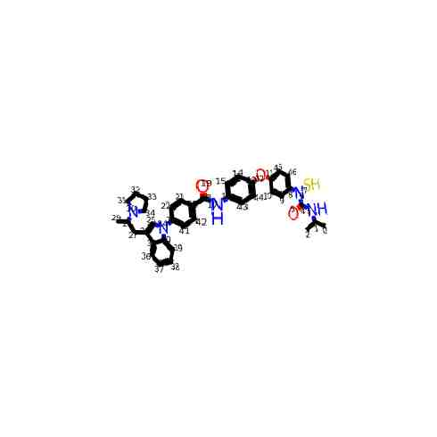 CC(C)NC(=O)N(S)c1ccc(Oc2ccc(NC(=O)c3ccc(-n4cc(CC(C)N5CCCC5)c5ccccc54)cc3)cc2)cc1